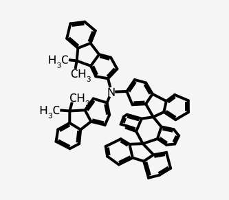 CC1(C)c2ccccc2-c2ccc(N(c3ccc4c(c3)C(C)(C)c3ccccc3-4)c3ccc4c(c3)C3(c5ccccc5-4)c4ccccc4C4(c5ccccc5-c5ccccc54)c4ccccc43)cc21